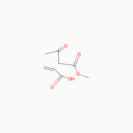 C=CC(=O)O.COC(=O)CC(C)=O